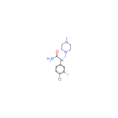 CN1CCN(C[C@@H](C(N)=O)c2ccc(Cl)c(F)c2)CC1